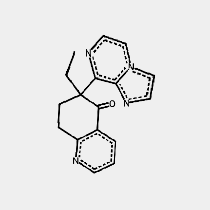 CCC1(c2nccn3ccnc23)CCc2ncccc2C1=O